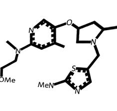 CNc1ncc(CN2CC(Oc3cnc(N(C)CCOC)cc3C)CC2C)s1